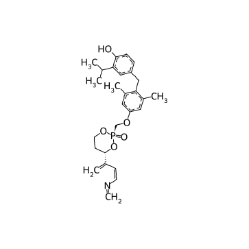 C=N/C=C\C(=C)[C@@H]1CCO[P@@](=O)(COc2cc(C)c(Cc3ccc(O)c(C(C)C)c3)c(C)c2)O1